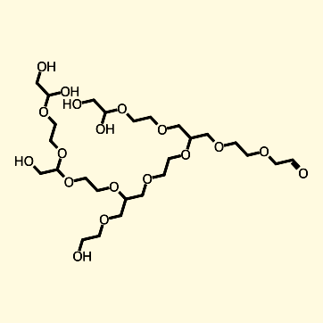 O=CCOCCOCC(COCCOC(O)CO)OCCOCC(COCCO)OCCOC(CO)OCCOC(O)CO